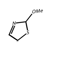 COC1N=C[C]S1